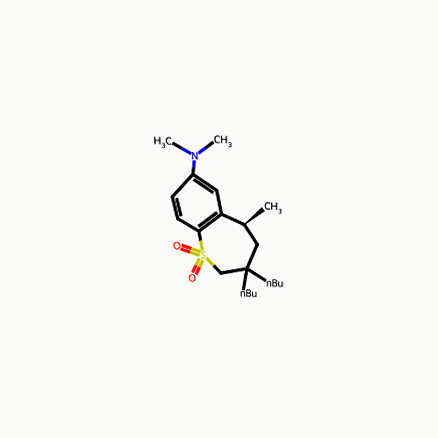 CCCCC1(CCCC)C[C@H](C)c2cc(N(C)C)ccc2S(=O)(=O)C1